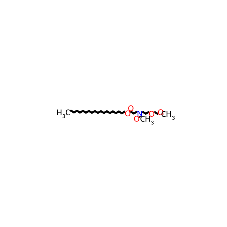 CCCCCCCCCCCCCCCCCCCCOC(=O)CCN(CCCOCCOC)C(C)=O